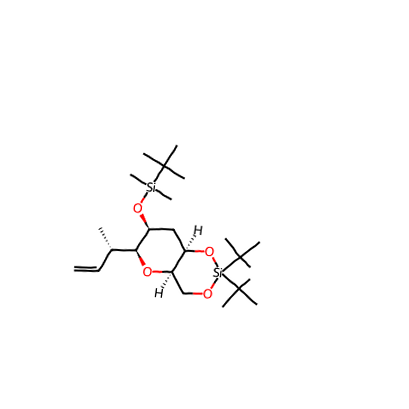 C=C[C@H](C)[C@@H]1O[C@@H]2CO[Si](C(C)(C)C)(C(C)(C)C)O[C@@H]2C[C@@H]1O[Si](C)(C)C(C)(C)C